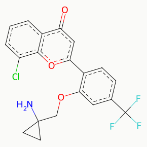 NC1(COc2cc(C(F)(F)F)ccc2-c2cc(=O)c3cccc(Cl)c3o2)CC1